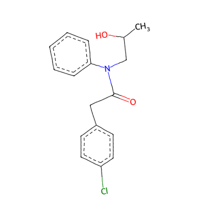 CC(O)CN(C(=O)Cc1ccc(Cl)cc1)c1ccccc1